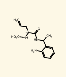 C=CC[C@H](NC(=O)O)C(=O)NC(C)c1ccccc1N